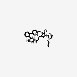 CCCCc1cn(-c2nccn2CCCC)c(=O)n1Cc1ccc(-c2ccccc2-c2nnn[nH]2)cn1